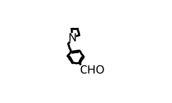 O=Cc1ccc(CN2CCC2)cc1